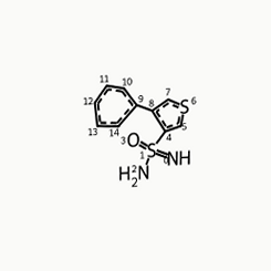 N=S(N)(=O)c1cscc1-c1ccccc1